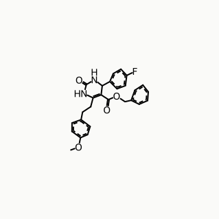 COc1ccc(CCC2=C(C(=O)OCc3ccccc3)C(c3ccc(F)cc3)NC(=O)N2)cc1